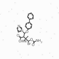 COC(=O)C(C(Oc1ccc(-c2ccccc2)cc1)n1ccnc1)C(C)(C)C(Br)OC(N)=O